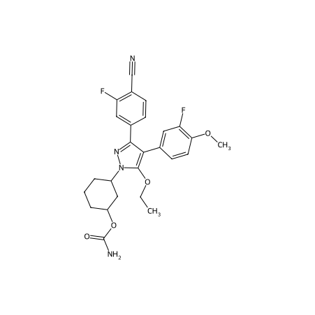 CCOc1c(-c2ccc(OC)c(F)c2)c(-c2ccc(C#N)c(F)c2)nn1C1CCCC(OC(N)=O)C1